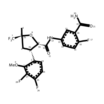 COc1c([C@@H]2C[C@@](C)(C(F)(F)F)O[C@@H]2C(=O)Nc2ccc(F)c(C(N)=O)c2)ccc(F)c1F